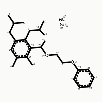 Cc1cc(CC(C)C)c(CC(C)C)c(C(C)OCCOc2ccccc2)c1C.Cl.N